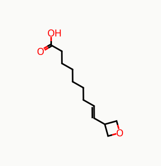 O=C(O)CCCCCCC=CC1COC1